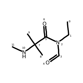 CCN(C=O)C(=O)C(C)(C)NC